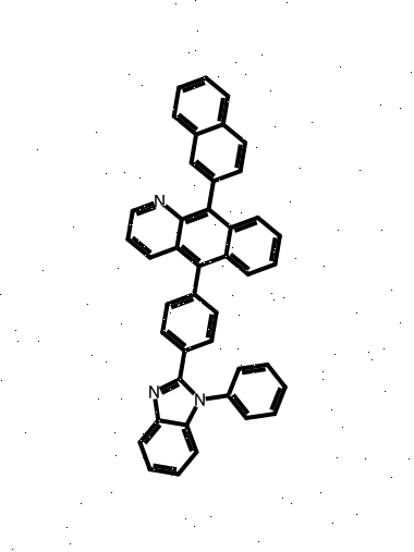 c1ccc(-n2c(-c3ccc(-c4c5ccccc5c(-c5ccc6ccccc6c5)c5ncccc45)cc3)nc3ccccc32)cc1